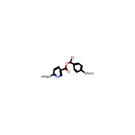 CCCCCCCc1ccc(C(=O)OC(CC)c2ccc(CCCCC)cc2)cn1